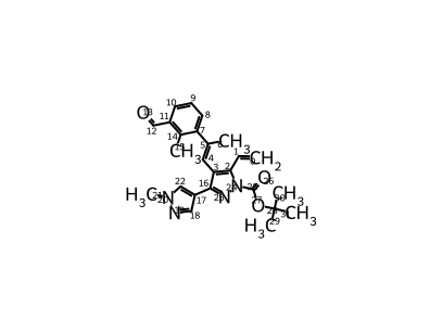 C=Cc1c(/C=C(\C)c2cccc(C=O)c2C)c(-c2cnn(C)c2)nn1C(=O)OC(C)(C)C